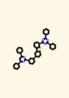 c1ccc(-c2cc(-c3ccccc3)nc(-c3cccc(-c4ccc5sc6c(-c7nc(-c8ccccc8)nc(-c8ccccc8)n7)cccc6c5c4)c3)n2)cc1